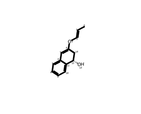 CC=COC1=Cc2ccccc2[C@@H](O)C1